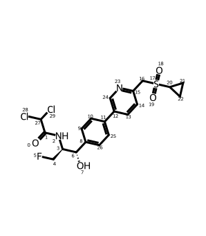 O=C(N[C@H](CF)[C@@H](O)c1ccc(-c2ccc(CS(=O)(=O)C3CC3)nc2)cc1)C(Cl)Cl